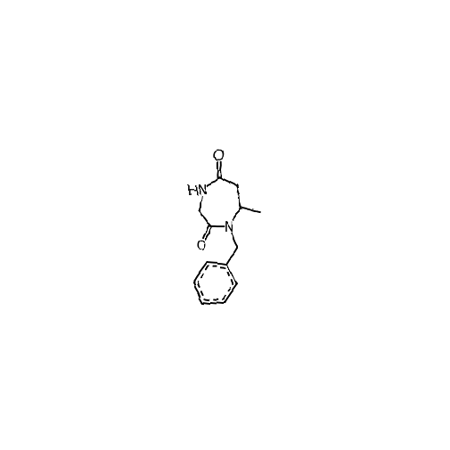 CC1CC(=O)NCC(=O)N1Cc1ccccc1